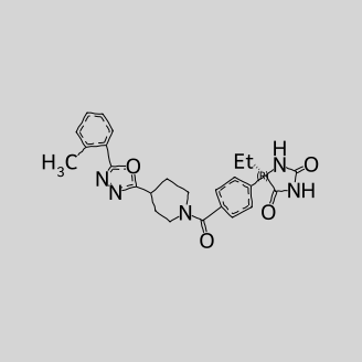 CC[C@]1(c2ccc(C(=O)N3CCC(c4nnc(-c5ccccc5C)o4)CC3)cc2)NC(=O)NC1=O